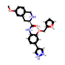 COc1ccc2c(c1)C[C@H](C(=O)Nc1ccc(-c3cn[nH]c3)cc1OCc1ccco1)NC2